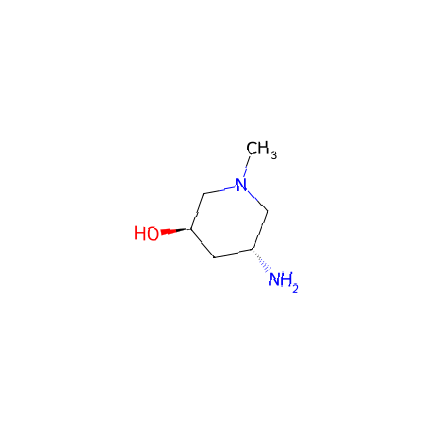 CN1C[C@H](N)C[C@@H](O)C1